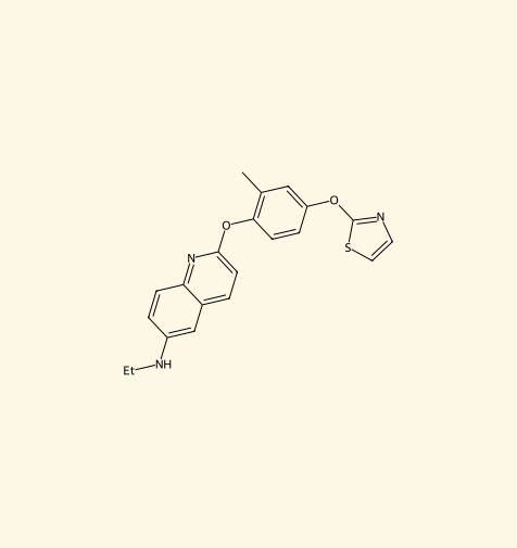 CCNc1ccc2nc(Oc3ccc(Oc4nccs4)cc3C)ccc2c1